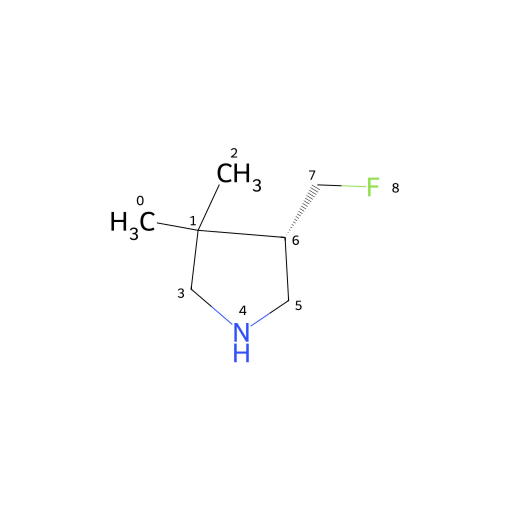 CC1(C)CNC[C@H]1CF